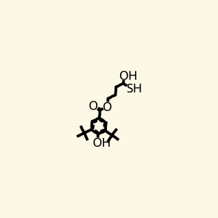 CC(C)(C)c1cc(C(=O)OCCCC(O)S)cc(C(C)(C)C)c1O